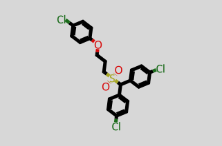 O=S(=O)(CCCOc1ccc(Cl)cc1)C(c1ccc(Cl)cc1)c1ccc(Cl)cc1